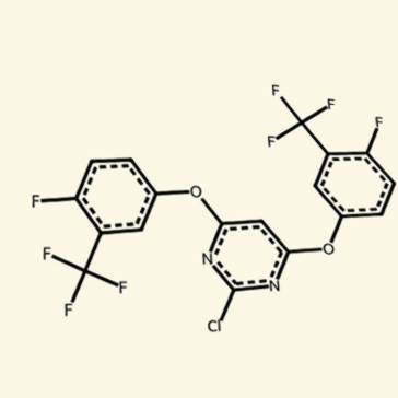 Fc1ccc(Oc2cc(Oc3ccc(F)c(C(F)(F)F)c3)nc(Cl)n2)cc1C(F)(F)F